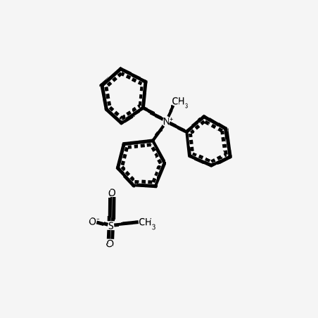 CS(=O)(=O)[O-].C[N+](c1ccccc1)(c1ccccc1)c1ccccc1